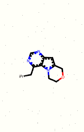 CC(C)Cc1ncnc2cc3n(c12)CCOC3